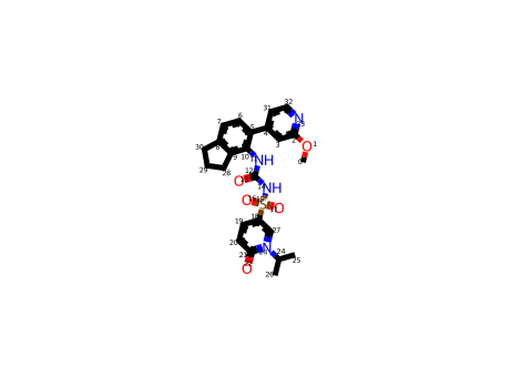 COc1cc(-c2ccc3c(c2NC(=O)NS(=O)(=O)c2ccc(=O)n(C(C)C)c2)CCC3)ccn1